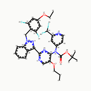 [CH2]CCOc1cnc(-c2nn(Cc3c(F)cc(OCC)cc3F)c3ccccc23)nc1N(C(=O)OC(C)(C)C)c1ccnc(C(F)F)c1